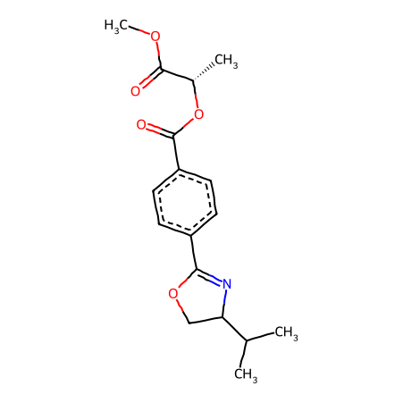 COC(=O)[C@H](C)OC(=O)c1ccc(C2=NC(C(C)C)CO2)cc1